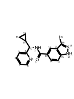 O=C(N[C@H](c1ccccn1)C1CC1)c1ccc2[nH]nc(I)c2c1